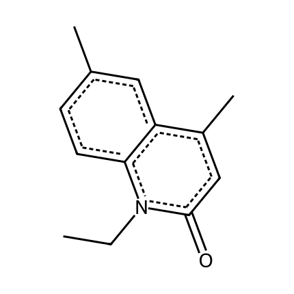 CCn1c(=O)cc(C)c2cc(C)ccc21